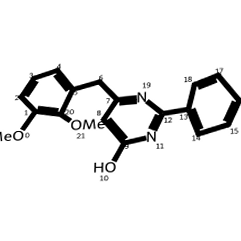 COc1cccc(Cc2cc(O)nc(-c3ccccc3)n2)c1OC